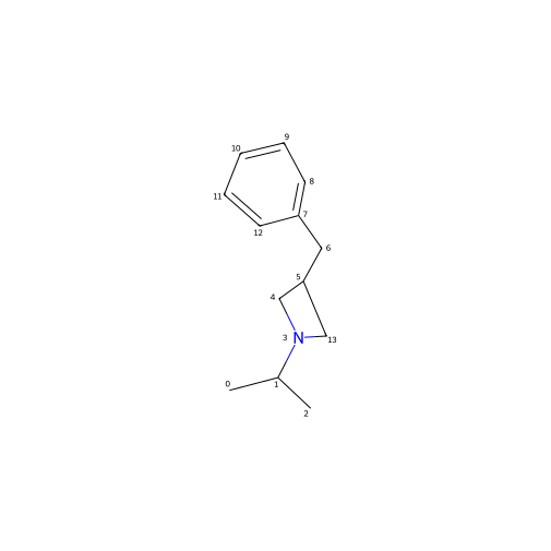 CC(C)N1CC(Cc2ccccc2)C1